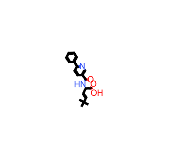 CC(C)(C)/C=C/[C@@H](NC(=O)c1ccc(-c2ccccc2)nc1)C(=O)O